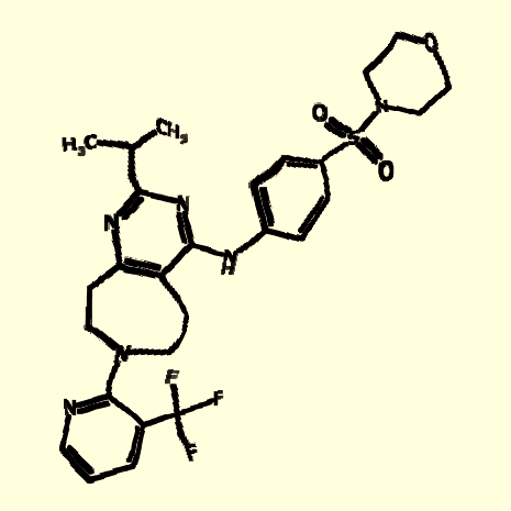 CC(C)c1nc2c(c(Nc3ccc(S(=O)(=O)N4CCOCC4)cc3)n1)CCN(c1ncccc1C(F)(F)F)CC2